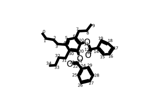 CCCCc1cc(CCC)c(OC(=O)c2ccccc2)c(OC(=O)c2ccccc2)c1CCCC